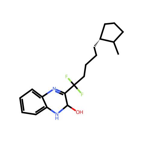 CC1CCC[C@H]1CCCCC(F)(F)C1=Nc2ccccc2NC1O